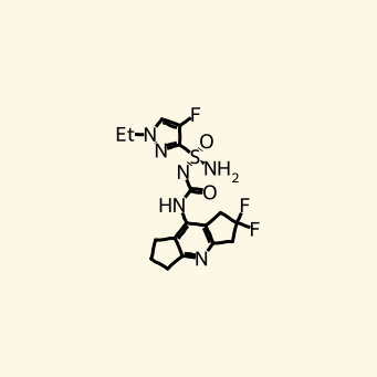 CCn1cc(F)c([S@](N)(=O)=NC(=O)Nc2c3c(nc4c2CC(F)(F)C4)CCC3)n1